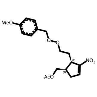 COc1ccc(COOCC[C@H]2C([N+](=O)[O-])=CC[C@H]2COC(C)=O)cc1